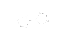 [CH]1NCN(C2NCNS2)N1